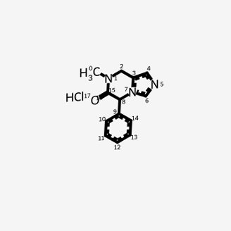 CN1Cc2cncn2C(c2ccccc2)C1=O.Cl